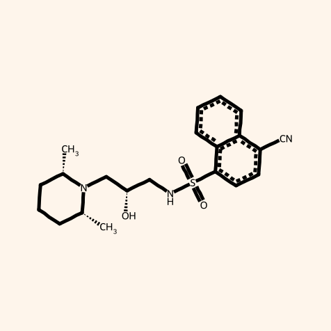 C[C@@H]1CCC[C@H](C)N1C[C@@H](O)CNS(=O)(=O)c1ccc(C#N)c2ccccc12